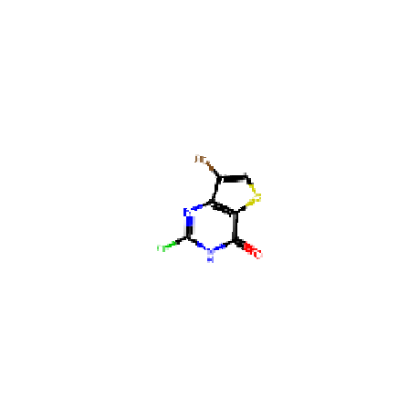 O=c1[nH]c(Cl)nc2c(Br)csc12